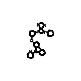 c1ccc(-[n+]2cn(-c3cccc(Oc4ccc5c6ccccc6n(-c6ccccn6)c5c4)c3)c3nccnc32)cc1